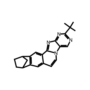 CC(C)(C)c1ncc2c(n1)nc1c3cc4c(cc3ccn21)C1CCC4C1